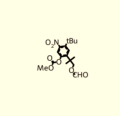 COC(=O)Oc1cc([N+](=O)[O-])c(C(C)(C)C)cc1C(C)(C)COC=O